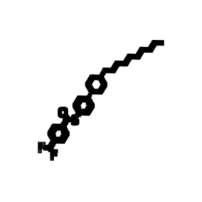 CCCCCCCCCC[C@H]1CC[C@H](c2ccc(SC(=O)c3ccc(C(F)F)cc3)cc2)CC1